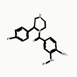 CC(C)Nc1cc(C(=O)N2CCNCC2c2ccc(F)cc2)ccc1[N+](=O)[O-]